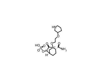 NC(=O)[C@@H]1CC[C@@H]2C[N+]1(OCCOC1CCCNC1)C(=O)N2OS(=O)(=O)O